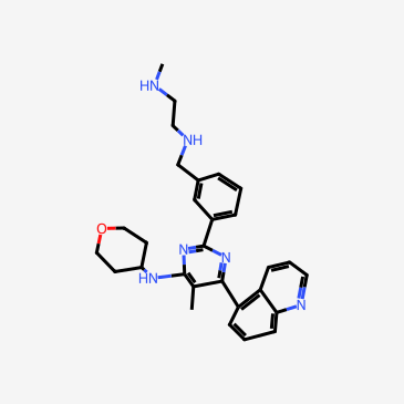 CNCCNCc1cccc(-c2nc(NC3CCOCC3)c(C)c(-c3cccc4ncccc34)n2)c1